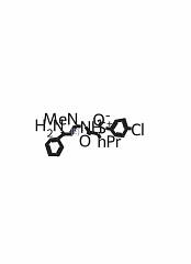 CCCC(C(=O)N/C(=C/C(N)c1ccccc1)NC)[S+]([O-])c1ccc(Cl)cc1